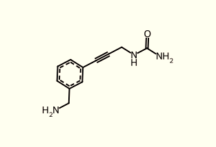 NCc1cccc(C#CCNC(N)=O)c1